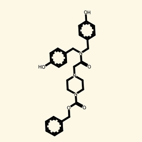 O=C(CN1CCN(C(=O)OCc2ccccc2)CC1)N(Cc1ccc(O)cc1)Cc1ccc(O)cc1